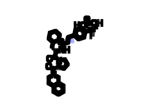 O=C(/C=C/c1ccc(C(F)(F)P(=O)(O)O)cc1)N[C@@H](CC1CCCCC1)C(=O)N1CCC[C@H]1C(=O)N1CCc2ccccc2C1